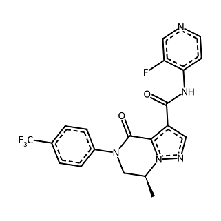 C[C@H]1CN(c2ccc(C(F)(F)F)cc2)C(=O)c2c(C(=O)Nc3ccncc3F)cnn21